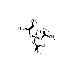 C=C(C)O[Si](C)(OC(=C)C)OC(C)=CC